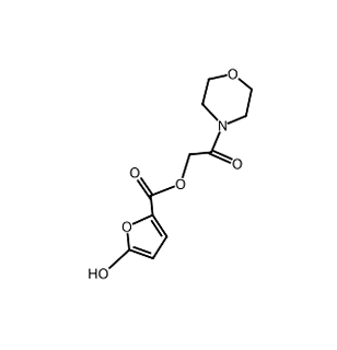 O=C(OCC(=O)N1CCOCC1)c1ccc(O)o1